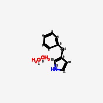 O.O.[B](c1ccccc1)c1cc[nH]c1